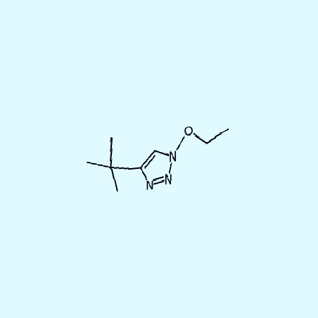 CCOn1cc(C(C)(C)C)nn1